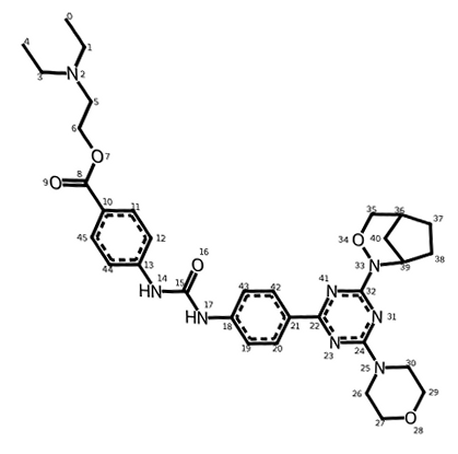 CCN(CC)CCOC(=O)c1ccc(NC(=O)Nc2ccc(-c3nc(N4CCOCC4)nc(N4OCC5CCC4C5)n3)cc2)cc1